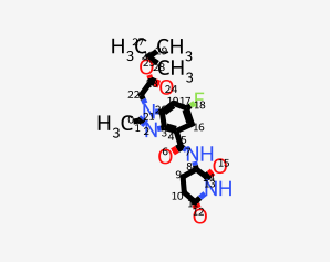 Cc1nc2c(C(=O)NC3CCC(=O)NC3=O)cc(F)cc2n1CC(=O)OC(C)(C)C